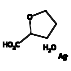 O.O=C(O)C1CCCO1.[Ag]